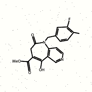 COC(=O)C1=C(O)c2cnccc2N(Cc2ccc(C)c(F)c2)C(=O)C1